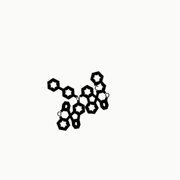 c1ccc(-c2ccc(N(c3ccc4c(c3)C3(c5ccccc5Oc5ccccc53)c3ccccc3-4)c3cccc4c3-c3ccccc3C43c4ccccc4Oc4cc5ccccc5cc43)cc2)cc1